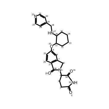 O=C1CCC(N2Cc3cc(OC4CCCCC4NCc4ccncc4)ccc3C2=O)C(=O)N1